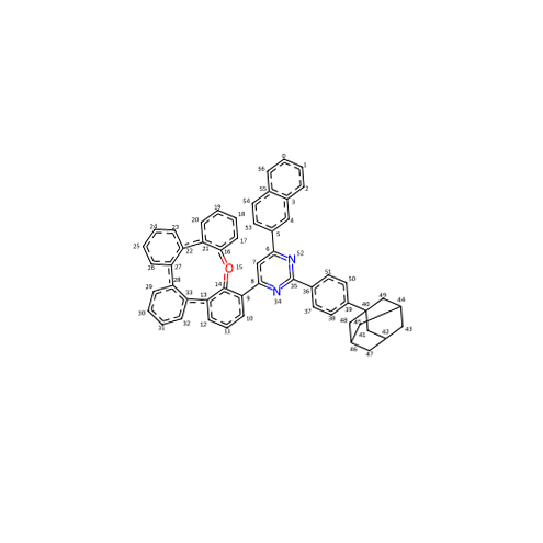 c1ccc2cc(-c3cc(-c4cccc5c4oc4ccccc4c4ccccc4c4ccccc54)nc(-c4ccc(C56CC7CC(CC(C7)C5)C6)cc4)n3)ccc2c1